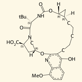 COc1cccc2c(O)c3c(nc12)O[C@@H]1C[C@@H](C(=O)O)N(C1)C(=O)[C@H](C(C)(C)C)NC(=O)O[C@@H]1C[C@H]1CCCCC3